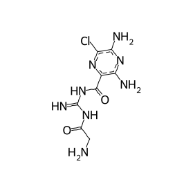 N=C(NC(=O)CN)NC(=O)c1nc(Cl)c(N)nc1N